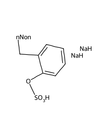 CCCCCCCCCCc1ccccc1OS(=O)(=O)O.[NaH].[NaH]